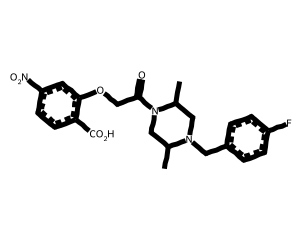 CC1CN(C(=O)COc2cc([N+](=O)[O-])ccc2C(=O)O)C(C)CN1Cc1ccc(F)cc1